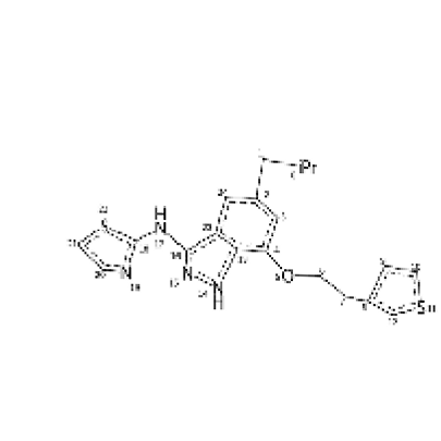 CC(C)Cc1cc(OCCc2ccsc2)c2[nH]nc(Nc3nccs3)c2c1